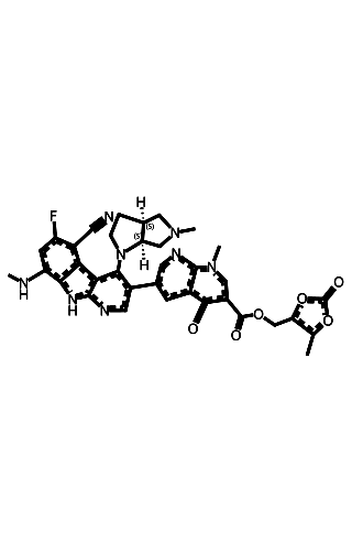 CNc1cc(F)c(C#N)c2c1[nH]c1ncc(-c3cnc4c(c3)c(=O)c(C(=O)OCc3oc(=O)oc3C)cn4C)c(N3CC[C@H]4CN(C)C[C@H]43)c12